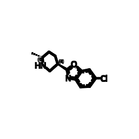 C[C@@H]1CC[C@@H](c2nc3ccc(Cl)cc3o2)CN1